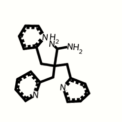 NC(N)C(Cc1ccccn1)(Cc1ccccn1)Cc1ccccn1